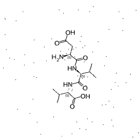 CC(C)[C@H](NC(=O)[C@@H](NC(=O)[C@@H](N)CC(=O)O)C(C)C)C(=O)O